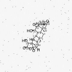 C[C@]12CCC3C(C1C[C@@H]1C2C[C@H]2O[C@]24OC(=O)[C@@H](O)[C@]14C)[C@@H](O)C(=O)[C@H]1C[C@@H]2O[C@@H]2C[C@]31C